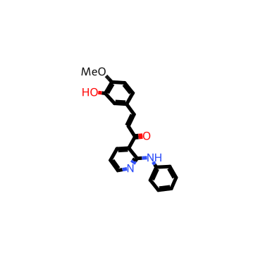 COc1ccc(C=CC(=O)c2cccnc2Nc2ccccc2)cc1O